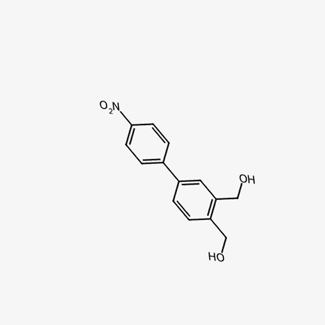 O=[N+]([O-])c1ccc(-c2ccc(CO)c(CO)c2)cc1